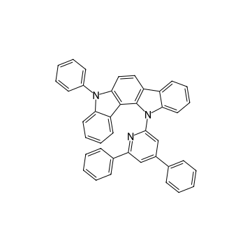 c1ccc(-c2cc(-c3ccccc3)nc(-n3c4ccccc4c4ccc5c(c6ccccc6n5-c5ccccc5)c43)c2)cc1